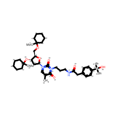 COC1(OC[C@H]2O[C@@H](n3cc(C)c(=O)n(CCCNC(=O)Cc4ccc([Si](O)(C(C)C)C(C)C)cc4)c3=O)C[C@@H]2OC2(OC)CCCCC2)CCCCC1